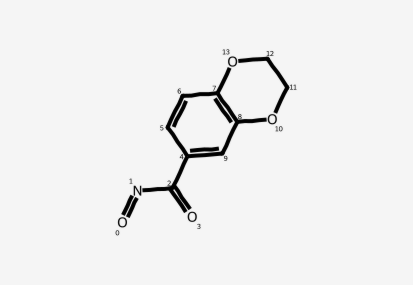 O=NC(=O)c1ccc2c(c1)OCCO2